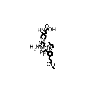 CCOC(=O)CCc1ccc(-n2ccc(C)n2)c(C(Oc2cc(N3CCC4(CC3)CNC(C(=O)O)C4)nc(N)n2)C(F)(F)F)c1